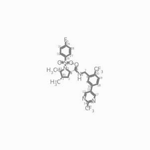 C[C@@H]1C[C@@H](C(=O)NCc2cc(-c3cnc(C(F)(F)F)nc3)ccc2C(F)(F)F)N(S(=O)(=O)c2ccc(F)cc2)[C@H]1C